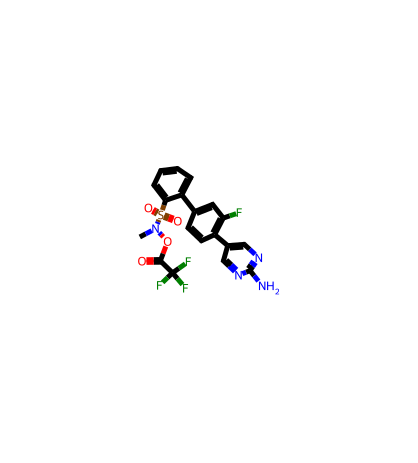 CN(OC(=O)C(F)(F)F)S(=O)(=O)c1ccccc1-c1ccc(-c2cnc(N)nc2)c(F)c1